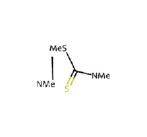 CNC.CNC(=S)SC